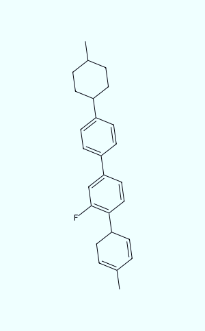 CC1=CCC(c2ccc(-c3ccc(C4CCC(C)CC4)cc3)cc2F)C=C1